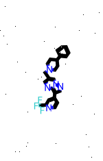 FC(F)(F)c1cc(-c2cnn3cc(CN4CCC(c5ccccc5)CC4)cnc23)ccn1